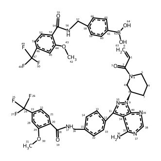 C=CC(=O)N1CCC[C@@H](n2nc(-c3ccc(CNC(=O)c4ccc(C(F)(F)F)cc4OC)cc3)c3c(N)ncnc32)C1.COc1cc(C(F)(F)F)ccc1C(=O)NCc1ccc(B(O)O)cc1